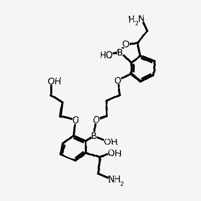 NCC(O)c1cccc(OCCCO)c1B(O)OCCCOc1cccc2c1B(O)OC2CN